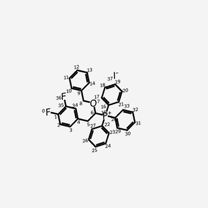 Fc1ccc(CC(OCc2ccccc2)[P+](c2ccccc2)(c2ccccc2)c2ccccc2)cc1F.[I-]